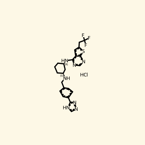 Cl.FC(F)(F)Cc1cc2c(N[C@@H]3CCC[C@H](NCc4ccc(-c5nnc[nH]5)cc4)C3)ncnc2s1